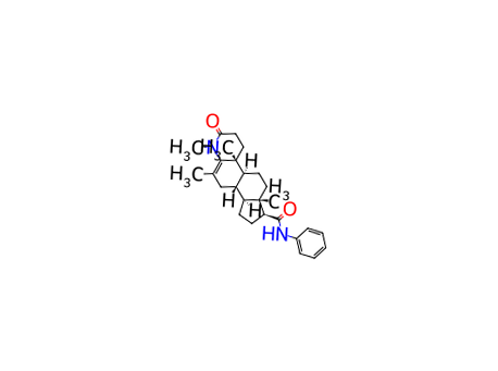 CC1=C2N(C)C(=O)CC[C@]2(C)[C@H]2CC[C@]3(C)[C@@H](C(=O)Nc4ccccc4)CC[C@H]3[C@@H]2C1